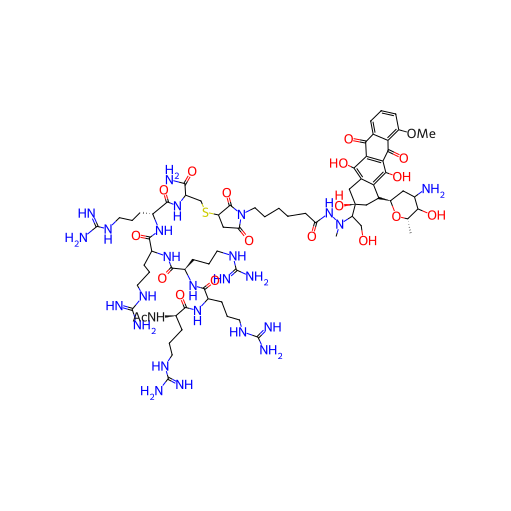 COc1cccc2c1C(=O)c1c(O)c3c(c(O)c1C2=O)C[C@@](O)(C(CO)N(C)NC(=O)CCCCCN1C(=O)CC(SCC(NC(=O)[C@@H](CCCNC(=N)N)NC(=O)C(CCCNC(=N)N)NC(=O)[C@@H](CCCNC(=N)N)NC(=O)C(CCCNC(=N)N)NC(=O)[C@@H](CCCNC(=N)N)NC(C)=O)C(N)=O)C1=O)CC3[C@H]1CC(N)C(O)[C@H](C)O1